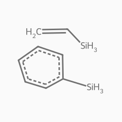 C=C[SiH3].[SiH3]c1ccccc1